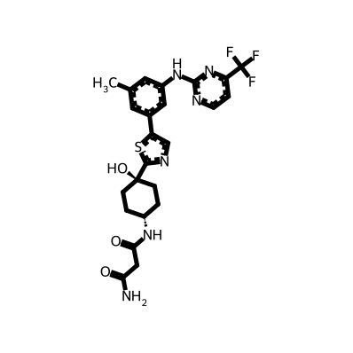 Cc1cc(Nc2nccc(C(F)(F)F)n2)cc(-c2cnc([C@]3(O)CC[C@H](NC(=O)CC(N)=O)CC3)s2)c1